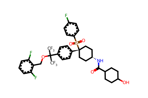 O=C(N[C@H]1CC[C@@](c2ccc(C(OCc3c(F)cccc3F)(C(F)(F)F)C(F)(F)F)cc2)(S(=O)(=O)c2ccc(F)cc2)CC1)C1CCC(O)CC1